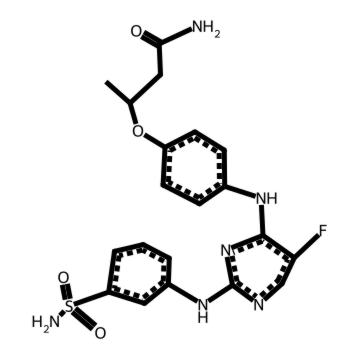 CC(CC(N)=O)Oc1ccc(Nc2nc(Nc3cccc(S(N)(=O)=O)c3)ncc2F)cc1